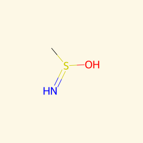 CS(=N)O